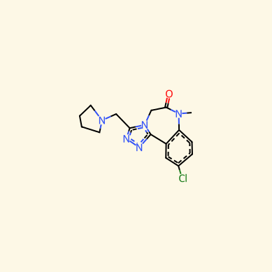 CN1C(=O)Cn2c(CN3CCCC3)nnc2-c2cc(Cl)ccc21